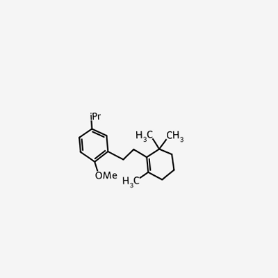 COc1ccc(C(C)C)cc1CCC1=C(C)CCCC1(C)C